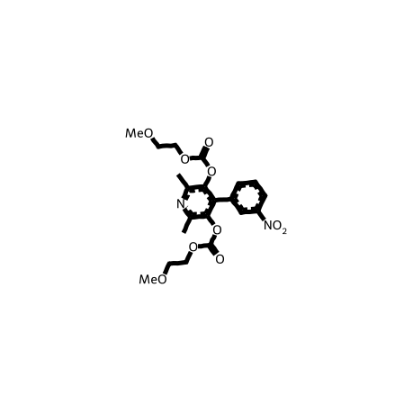 COCCOC(=O)Oc1c(C)nc(C)c(OC(=O)OCCOC)c1-c1cccc([N+](=O)[O-])c1